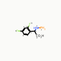 O=C(O)C(NP)c1ccc(F)cc1F